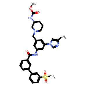 Cc1cn(-c2cc(CN3CCC[C@H](NC(=O)OC(C)(C)C)C3)cc(NC(=O)c3cccc(-c4cccc(S(C)(=O)=O)c4)c3)c2)cn1